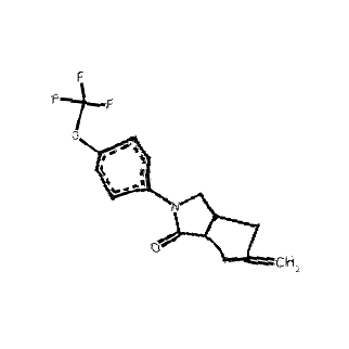 C=C1CC2CN(c3ccc(OC(F)(F)F)cc3)C(=O)C2C1